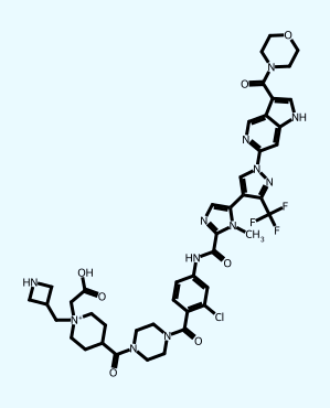 Cn1c(-c2cn(-c3cc4[nH]cc(C(=O)N5CCOCC5)c4cn3)nc2C(F)(F)F)cnc1C(=O)Nc1ccc(C(=O)N2CCN(C(=O)C3CC[N+](CC(=O)O)(CC4CNC4)CC3)CC2)c(Cl)c1